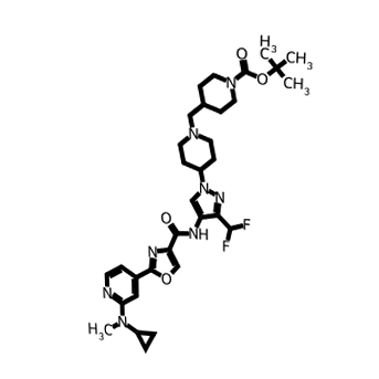 CN(c1cc(-c2nc(C(=O)Nc3cn(C4CCN(CC5CCN(C(=O)OC(C)(C)C)CC5)CC4)nc3C(F)F)co2)ccn1)C1CC1